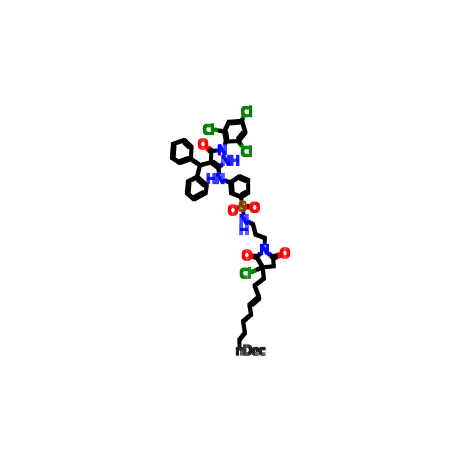 CCCCCCCCCCCCCCC=CCCC1(Cl)CC(=O)N(CCCNS(=O)(=O)c2cccc(Nc3[nH]n(-c4c(Cl)cc(Cl)cc4Cl)c(=O)c3C(c3ccccc3)c3ccccc3)c2)C1=O